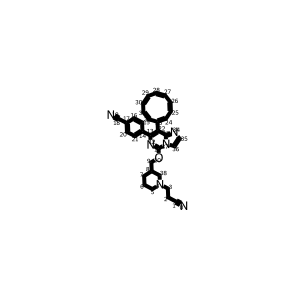 N#CCCN1CCCC(COc2nc(-c3ccc(C#N)cc3)c(-c3ccccccccc3)c3nccn23)C1